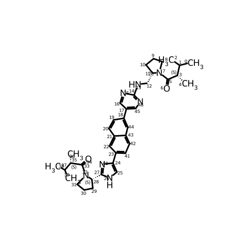 CC(C)[C@H](C)C(=O)N1CCC[C@H]1CNc1ncc(-c2ccc3cc(-c4c[nH]c([C@@H]5CCCN5C(=O)[C@@H](C)C(C)C)n4)ccc3c2)cn1